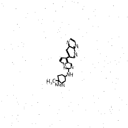 CNC1(C)CCC(Nc2ncc3c(-c4cnc5nccnc5c4)ccn3n2)CC1